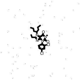 CCCC(CCC)n1c(CC)nc2c1c(=O)n(C)c(=O)n2-c1ccc(Cl)cc1Cl